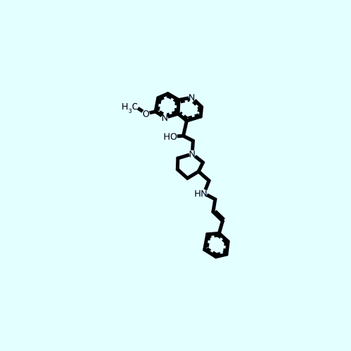 COc1ccc2nccc(C(O)CN3CCCC(CNC/C=C/c4ccccc4)C3)c2n1